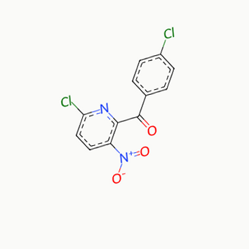 O=C(c1ccc(Cl)cc1)c1nc(Cl)ccc1[N+](=O)[O-]